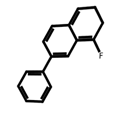 FC1=c2cc(-c3ccccc3)ccc2=CCC1